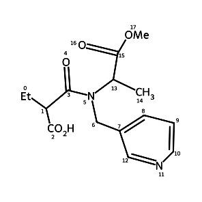 CCC(C(=O)O)C(=O)N(Cc1cccnc1)C(C)C(=O)OC